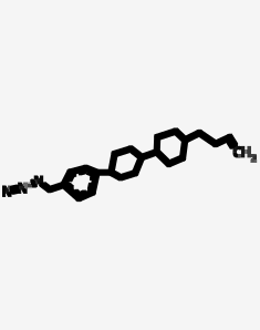 C=CCCC1CCC(C2CCC(c3ccc(CN=[N+]=[N-])cc3)CC2)CC1